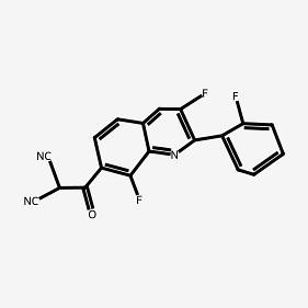 N#CC(C#N)C(=O)c1ccc2cc(F)c(-c3ccccc3F)nc2c1F